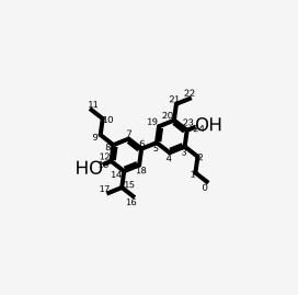 CCCc1cc(-c2cc(CCC)c(O)c(C(C)C)c2)cc(CC)c1O